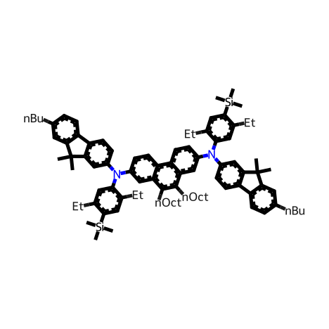 CCCCCCCCc1c(CCCCCCCC)c2cc(N(c3ccc4c(c3)C(C)(C)c3cc(CCCC)ccc3-4)c3cc(CC)c([Si](C)(C)C)cc3CC)ccc2c2ccc(N(c3ccc4c(c3)C(C)(C)c3cc(CCCC)ccc3-4)c3cc(CC)c([Si](C)(C)C)cc3CC)cc12